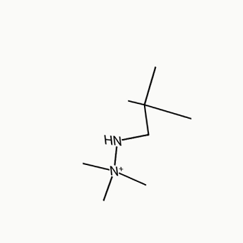 CC(C)(C)CN[N+](C)(C)C